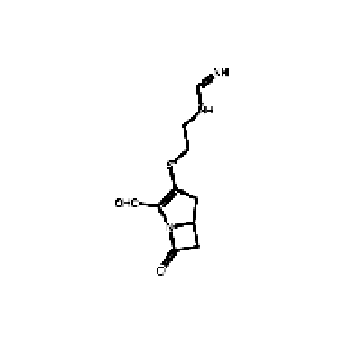 N=CNCCSC1=C(C=O)N2C(=O)CC2C1